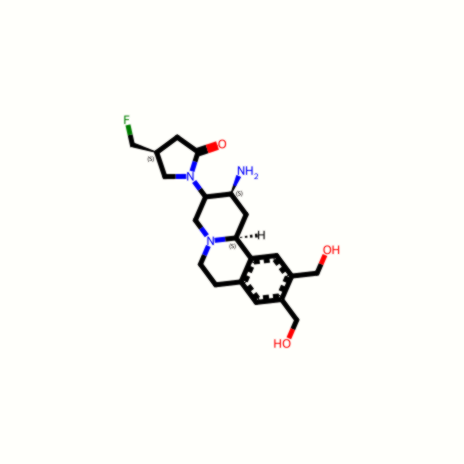 N[C@H]1C[C@H]2c3cc(CO)c(CO)cc3CCN2CC1N1C[C@@H](CF)CC1=O